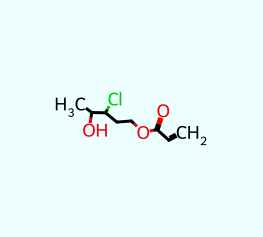 C=CC(=O)OCCC(Cl)C(C)O